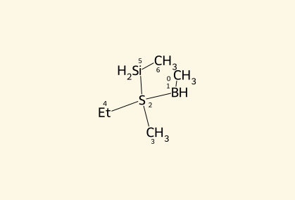 CBS(C)(CC)[SiH2]C